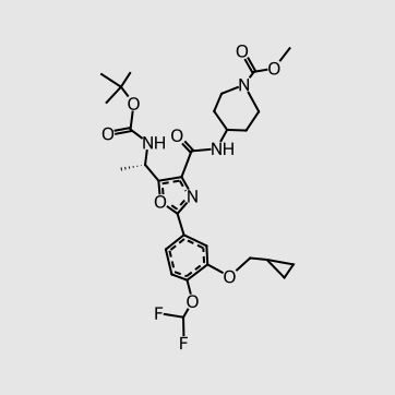 COC(=O)N1CCC(NC(=O)c2nc(-c3ccc(OC(F)F)c(OCC4CC4)c3)oc2[C@H](C)NC(=O)OC(C)(C)C)CC1